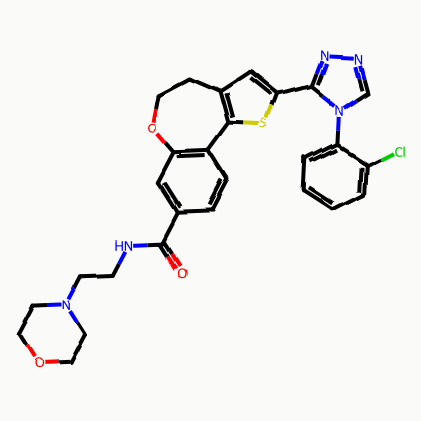 O=C(NCCN1CCOCC1)c1ccc2c(c1)OCCc1cc(-c3nncn3-c3ccccc3Cl)sc1-2